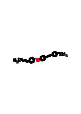 CCCCC[C@H]1CC[C@H](COc2ccc(C#Cc3ccc(CC)cc3)cc2)CC1